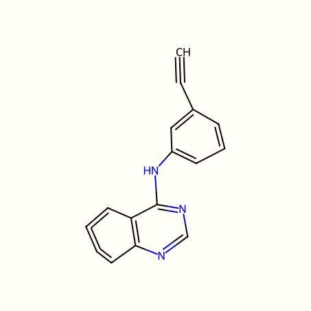 C#Cc1cccc(Nc2ncnc3c2C=C=C=C3)c1